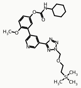 COc1ccc(OC(=O)NC2CCCCC2)cc1-c1cncc(-c2nnn(COCC[Si](C)(C)C)n2)c1